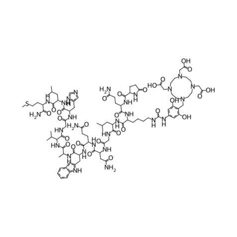 CSCCC(NC(=O)C(CC(C)C)NC(=O)C(Cc1cnc[nH]1)NC(=O)CNC(=O)C(NC(=O)C(C)NC(=O)C(Cc1cc2ccccc2[nH]1)NC(=O)C(CCC(N)=O)NC(=O)C(CC(N)=O)NC(=O)CNC(=O)C(CC(C)C)NC(=O)C(CCCCNC(=O)Nc1cc(O)c(CN2CCN(CC(=O)O)CCN(CC(=O)O)CCN(CC(=O)O)CC2)c(O)c1)NC(=O)C(CCC(N)=O)NC(=O)C1CCC(=O)N1)C(C)C)C(N)=O